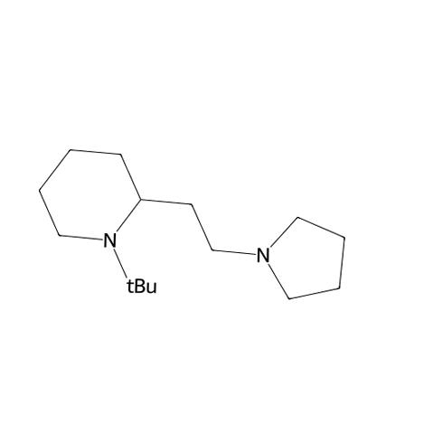 CC(C)(C)N1CCCCC1CCN1CCCC1